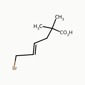 CC(C)(CC=CCBr)C(=O)O